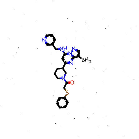 Bc1cnn2c(NCc3cccnc3)cc(C3CCCN(C(=O)CSc4ccccc4)C3)nc12